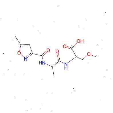 COCC(NC(=O)C(C)NC(=O)c1cc(C)on1)C(=O)O